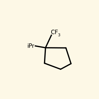 CC(C)C1(C(F)(F)F)CCCC1